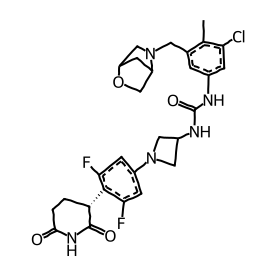 Cc1c(Cl)cc(NC(=O)NC2CN(c3cc(F)c([C@H]4CCC(=O)NC4=O)c(F)c3)C2)cc1CN1CC2CC1CO2